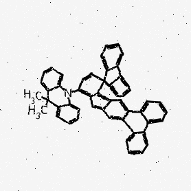 CC1(C)c2ccccc2N(C2=C3C=c4cc5c6ccccc6c6ccccc6c5cc4=C3C3(C=C2)c2ccccc2-c2ccccc23)c2ccccc21